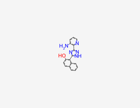 Nc1cccnc1-c1n[nH]c(-c2c(O)ccc3ccccc23)n1